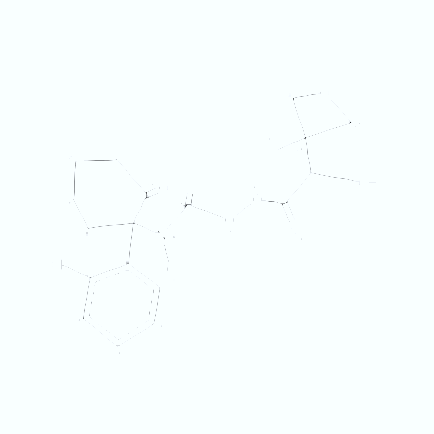 CC(C(=O)OOC(=O)N(C)C1(c2ccccc2Cl)CCCCC1=O)C1(C)COC1